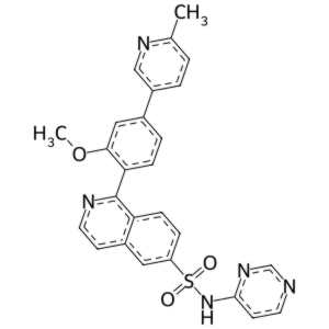 COc1cc(-c2ccc(C)nc2)ccc1-c1nccc2cc(S(=O)(=O)Nc3ccncn3)ccc12